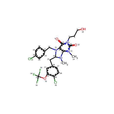 CN1c2c(c(=O)n(CCCO)c(=O)n2C)N(Cc2ccc(Cl)cc2)C1Cc1ccc(Cl)c(OC(F)(F)F)c1